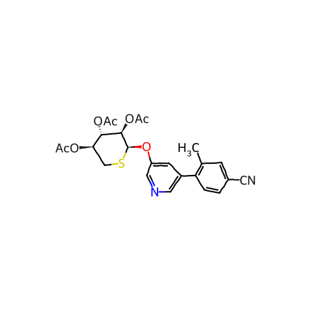 CC(=O)O[C@@H]1[C@@H](OC(C)=O)[C@@H](Oc2cncc(-c3ccc(C#N)cc3C)c2)SC[C@H]1OC(C)=O